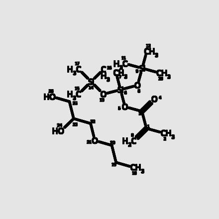 C=C(C)C(=O)O[Si](C)(O[Si](C)(C)C)O[Si](C)(C)C.CCCOCC(O)CO